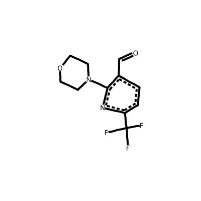 O=Cc1ccc(C(F)(F)F)nc1N1CCOCC1